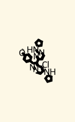 COc1ccc(-c2nn3ccc(NC4CCCC4)c(Cl)c3c2-c2ccnc(NC3CCCC3)n2)cc1